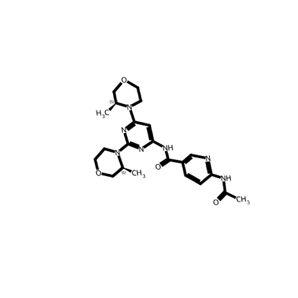 CC(=O)Nc1ccc(C(=O)Nc2cc(N3CCOC[C@@H]3C)nc(N3CCOC[C@@H]3C)n2)cn1